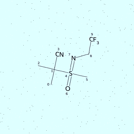 CC(C)(C#N)S(C)(=O)=NCC(F)(F)F